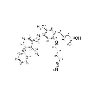 Cc1cc(CNCC(=O)O)c(OCCCCC#N)cc1/C=C/c1cccc(-c2ccccc2)c1C#N